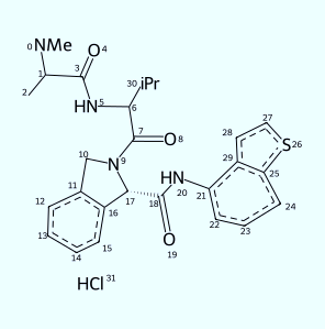 CNC(C)C(=O)NC(C(=O)N1Cc2ccccc2[C@H]1C(=O)Nc1cccc2sccc12)C(C)C.Cl